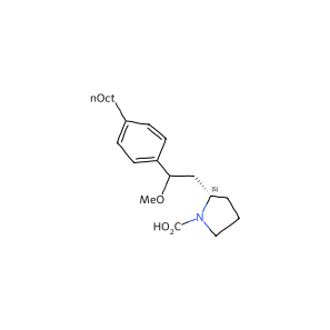 CCCCCCCCc1ccc(C(C[C@@H]2CCCN2C(=O)O)OC)cc1